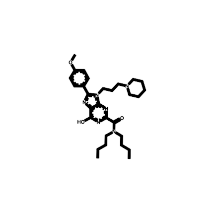 CCCCN(CCCC)C(=O)c1nc(O)c2nc(-c3ccc(OC)cc3)n(CCCN3CCCCC3)c2n1